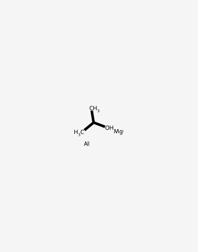 CC(C)O.[Al].[Mg]